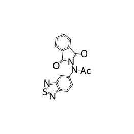 CC(=O)N(c1ccc2nsnc2c1)N1C(=O)c2ccccc2C1=O